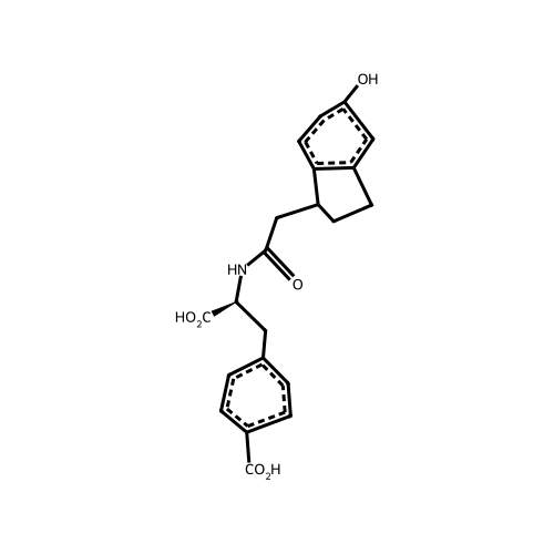 O=C(CC1CCc2cc(O)ccc21)N[C@@H](Cc1ccc(C(=O)O)cc1)C(=O)O